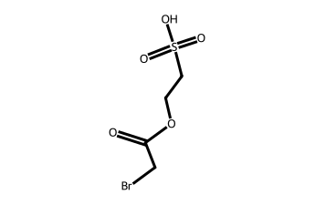 O=C(CBr)OCCS(=O)(=O)O